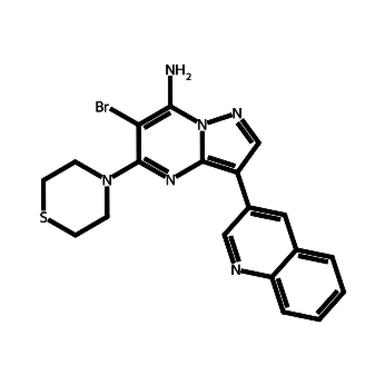 Nc1c(Br)c(N2CCSCC2)nc2c(-c3cnc4ccccc4c3)cnn12